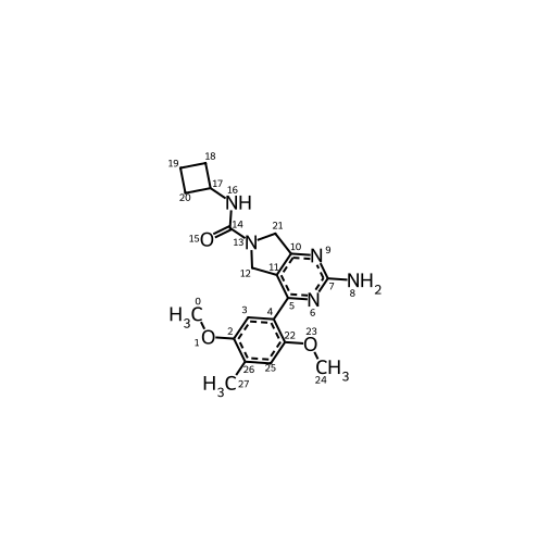 COc1cc(-c2nc(N)nc3c2CN(C(=O)NC2CCC2)C3)c(OC)cc1C